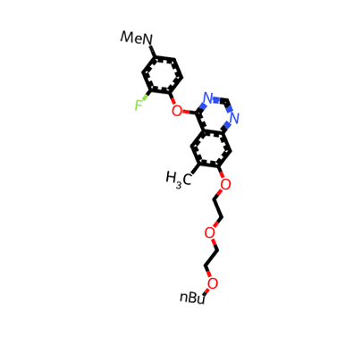 CCCCOCCOCCOc1cc2ncnc(Oc3ccc(NC)cc3F)c2cc1C